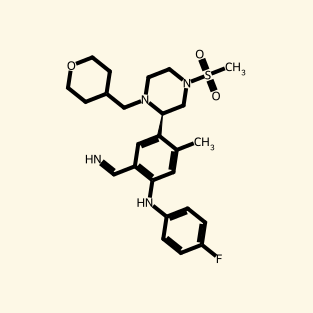 Cc1cc(Nc2ccc(F)cc2)c(C=N)cc1[C@@H]1CN(S(C)(=O)=O)CCN1CC1CCOCC1